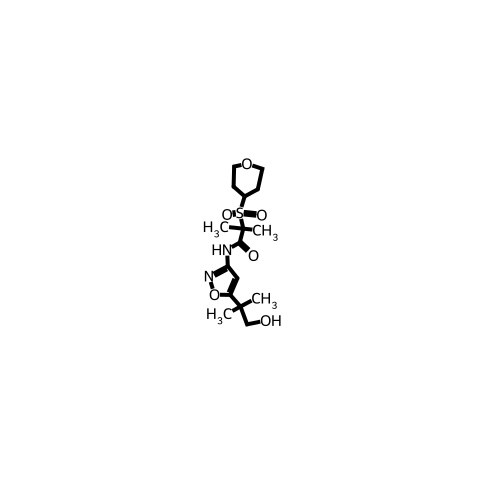 CC(C)(CO)c1cc(NC(=O)C(C)(C)S(=O)(=O)C2CCOCC2)no1